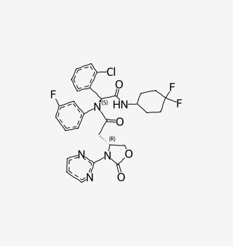 O=C(NC1CCC(F)(F)CC1)[C@H](c1ccccc1Cl)N(C(=O)C[C@@H]1COC(=O)N1c1ncccn1)c1cccc(F)c1